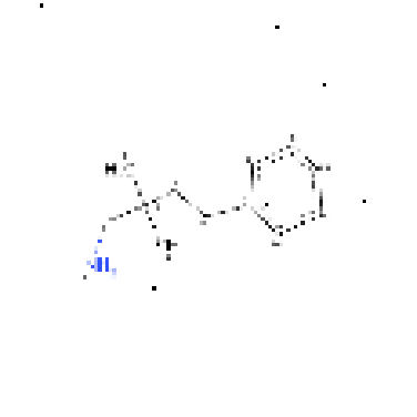 CC(C)(CN)CCc1ccccc1